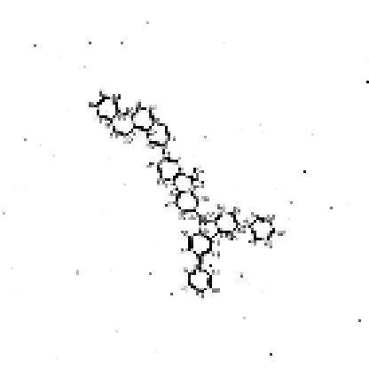 CC1(C)c2cc(-c3ccc4ccc5c6ccccc6ccc5c4c3)ccc2-c2ccc(-n3c4ccc(-c5ccccc5)cc4c4cc(-c5ccccc5)ccc43)cc21